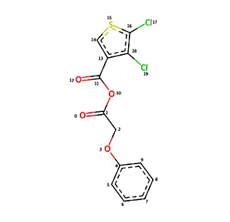 O=C(COc1ccccc1)OC(=O)c1csc(Cl)c1Cl